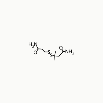 CC(C)(CC(N)=O)SSCCC(N)=O